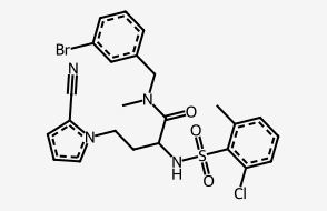 Cc1cccc(Cl)c1S(=O)(=O)NC(CCn1cccc1C#N)C(=O)N(C)Cc1cccc(Br)c1